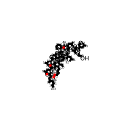 C=C/C=C\C=C\CC(C(=O)N(C)[C@@H](CC(C)C)C(=O)NC(C(=O)N(CCCC)CC(=O)N(C)C(CC(C)C)C(=O)N[C@@H](CC(=O)N(C)C(CC(C)C)C(=O)NCC(COCCO)C(=O)N(C)C(C=O)CC(C)C)C(=O)N1CCCCC1)C(C)O)N(C)C(=O)C(CC(C)C)NC(=O)C(CC(=C)/C=C\C=C)N(C)C